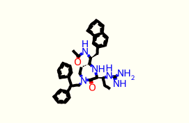 CCC(NC(=N)N)[C@@H]1N[C@@H]([C@H](Cc2ccc3ccccc3c2)NC(C)=O)CCN(CC(c2ccccc2)c2ccccc2)C1=O